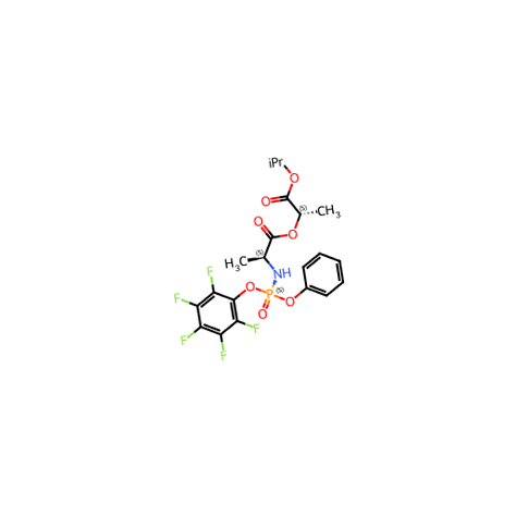 CC(C)OC(=O)[C@H](C)OC(=O)[C@H](C)N[P@](=O)(Oc1ccccc1)Oc1c(F)c(F)c(F)c(F)c1F